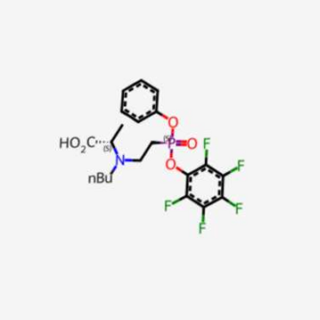 CCCCN(CC[P@](=O)(Oc1ccccc1)Oc1c(F)c(F)c(F)c(F)c1F)[C@@H](C)C(=O)O